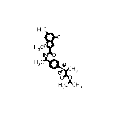 Cc1cc(Cl)c2cc(C(=O)NC(C)c3ccc(S(=O)(=O)C(C)C(=O)OC(C)C)cc3)n(C)c2c1